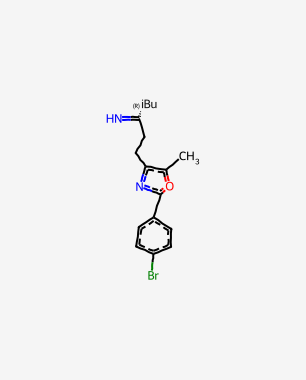 CC[C@@H](C)C(=N)CCc1nc(-c2ccc(Br)cc2)oc1C